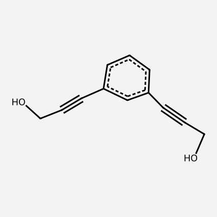 OCC#Cc1cccc(C#CCO)c1